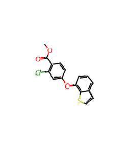 COC(=O)c1ccc(Oc2cccc3ccsc23)cc1Cl